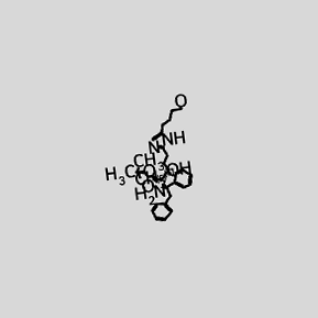 CC(C)(C)OC(=O)[C@H]([C@@H](O)CCc1ncc(CCCC=O)[nH]1)C(N)(Cc1ccccc1)c1ccccc1